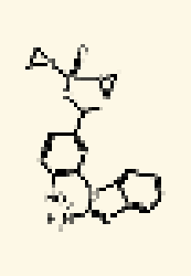 CC(OP(=O)(N1CC1)N1CC1)c1ccc([N+](=O)[O-])c(-n2c(N)nc3ccccc32)c1